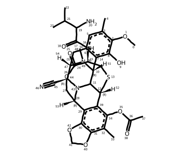 COc1c(C)cc2c(c1O)[C@@H]1C3[C@@H]4SC[C@H](NC(=O)C(N)C(C)C)C(=O)OC[C@@H](c5c6c(c(C)c(OC(C)=O)c54)OCO6)N3[C@@H](C#N)[C@H](C2)N1C